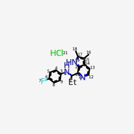 CCC(Nc1ccc(F)cc1)c1nccc2c(C)c(C)[nH]c12.Cl